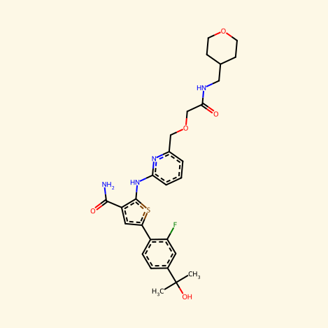 CC(C)(O)c1ccc(-c2cc(C(N)=O)c(Nc3cccc(COCC(=O)NCC4CCOCC4)n3)s2)c(F)c1